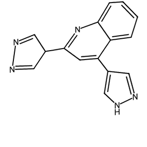 C1=NN=CC1c1cc(-c2cn[nH]c2)c2ccccc2n1